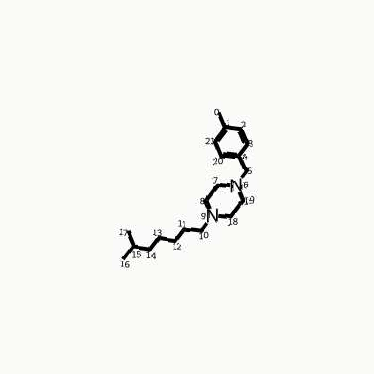 Cc1ccc(CN2CCN(CCCCCC(C)C)CC2)cc1